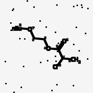 CCCCOCCOC(=O)C(C)Cl